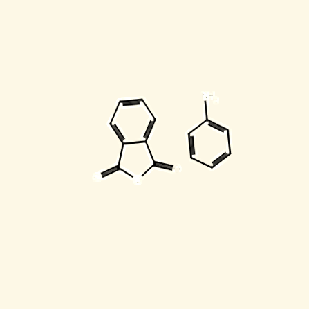 Nc1ccccc1.O=C1OC(=O)c2ccccc21